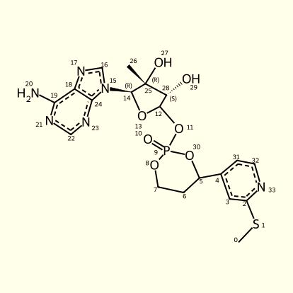 CSc1cc(C2CCOP(=O)(OC3O[C@@H](n4cnc5c(N)ncnc54)[C@](C)(O)[C@@H]3O)O2)ccn1